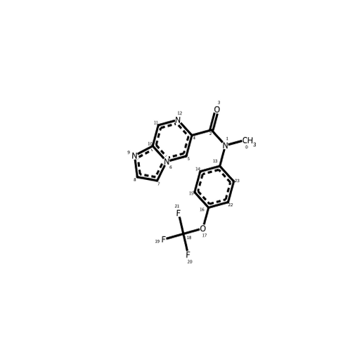 CN(C(=O)c1cn2ccnc2cn1)c1ccc(OC(F)(F)F)cc1